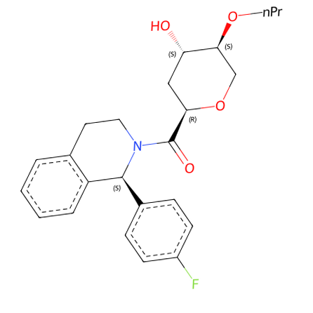 CCCO[C@H]1CO[C@@H](C(=O)N2CCc3ccccc3[C@@H]2c2ccc(F)cc2)C[C@@H]1O